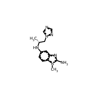 C[C@H](Cn1cncn1)Nc1ccc2c(c1)nc(N)n2C